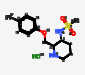 CCS(=O)(=O)N[C@@H]1CCCN[C@H]1COc1ccc(C(C)C)cc1.Cl